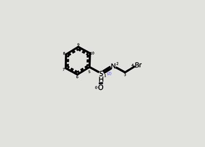 O=[SH](=N\CBr)/c1ccccc1